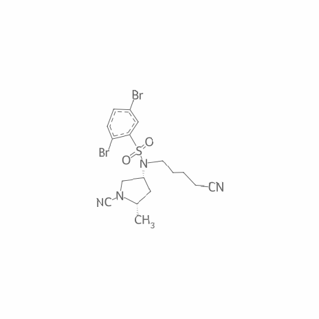 C[C@H]1C[C@@H](N(CCCCC#N)S(=O)(=O)c2cc(Br)ccc2Br)CN1C#N